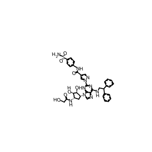 NS(=O)(=O)c1ccc(NC(=O)c2cnn(-c3nc(NCC(c4ccccc4)c4ccccc4)c4ncn([C@@H]5C[C@H](NC(=O)CO)[C@@H](O)[C@H]5O)c4n3)c2)cc1